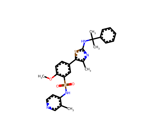 COc1ccc(-c2sc(NC(C)(C)c3ccccc3)nc2C)cc1S(=O)(=O)Nc1ccncc1C